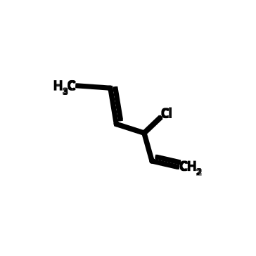 C=CC(Cl)/C=C/C